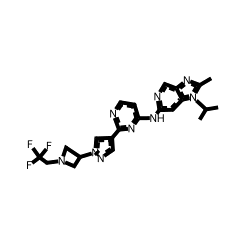 Cc1nc2cnc(Nc3ccnc(-c4cnn(C5CN(CC(F)(F)F)C5)c4)n3)cc2n1C(C)C